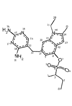 CCC(C)S(=O)(=O)Oc1cc(Cc2cnc(N)nc2N)cc2c1cc(C)n2CC